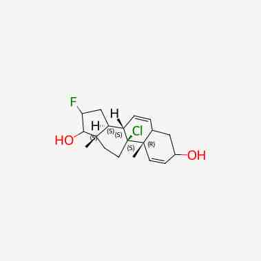 C[C@]12C=CC(O)CC1C=C[C@H]1[C@@H]3CC(F)C(O)[C@@]3(C)CC[C@]12Cl